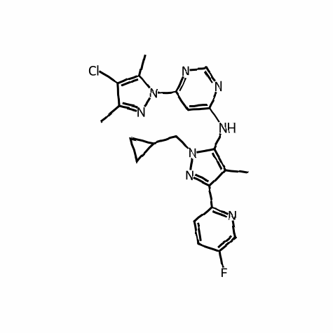 Cc1nn(-c2cc(Nc3c(C)c(-c4ccc(F)cn4)nn3CC3CC3)ncn2)c(C)c1Cl